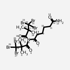 CC(C)(C(=O)N(C(=O)CCCCC(N)=O)C(=O)C(C)(C)C(Br)(Br)Br)C(Br)(Br)Br